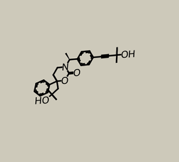 C[C@@H](c1ccc(C#CC(C)(C)O)cc1)N1CCC(CC(C)(C)O)(c2ccccc2)OC1=O